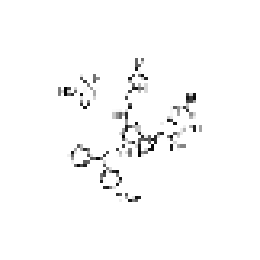 CCC(=O)N[C@H]1C[C@@H](n2cnc3c(NCC(c4ccccc4)c4ccc(OC)cc4)nc(NCCc4cn(CC)cn4)nc32)[C@H](O)[C@@H]1O.O=C(O)C(F)(F)F